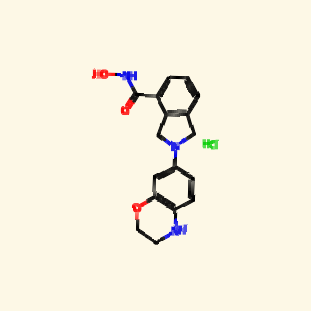 Cl.O=C(NO)c1cccc2c1CN(c1ccc3c(c1)OCCN3)C2